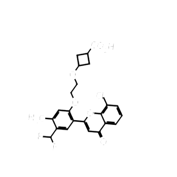 Cc1cc(OCCOC2CC(C(=O)O)C2)c(-c2cc(=O)c3cccc(Cl)c3o2)cc1C(F)F